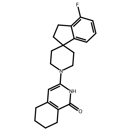 O=c1[nH]c(N2CCC3(CCc4c(F)cccc43)CC2)cc2c1CCCC2